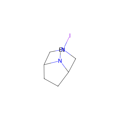 CCN1C2CCC1CN(I)C2